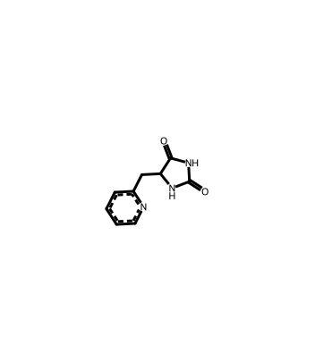 O=C1NC(=O)C(Cc2ccccn2)N1